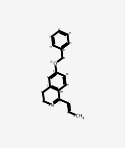 CC=CC1=NCCc2cc(OCc3ccccc3)ccc21